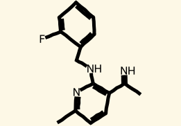 CC(=N)c1ccc(C)nc1NCc1ccccc1F